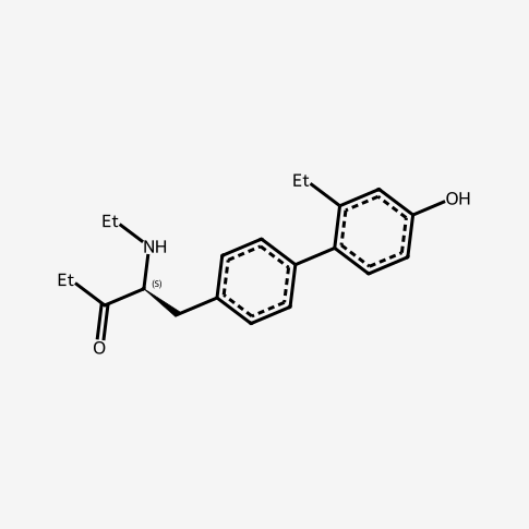 CCN[C@@H](Cc1ccc(-c2ccc(O)cc2CC)cc1)C(=O)CC